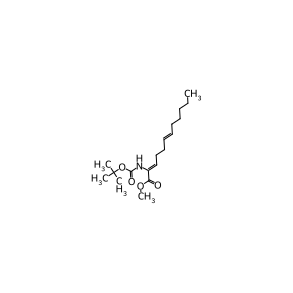 CCCCC/C=C/CC/C=C(\NC(=O)OC(C)(C)C)C(=O)OC